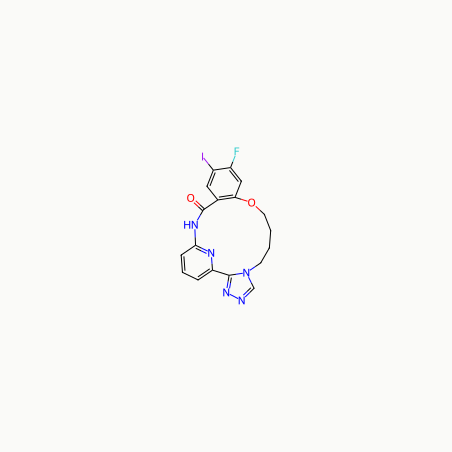 O=C1Nc2cccc(n2)-c2nncn2CCCCOc2cc(F)c(I)cc21